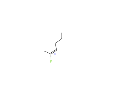 [CH2]/C(F)=C\CCC